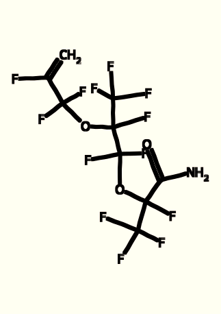 C=C(F)C(F)(F)OC(F)(C(F)(F)F)C(F)(F)OC(F)(C(N)=O)C(F)(F)F